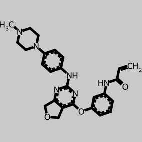 C=CC(=O)Nc1cccc(Oc2nc(Nc3ccc(N4CCN(C)CC4)cc3)nc3c2COC3)c1